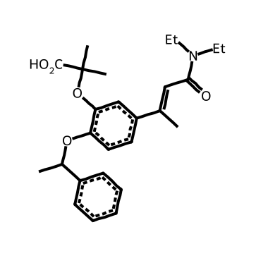 CCN(CC)C(=O)C=C(C)c1ccc(OC(C)c2ccccc2)c(OC(C)(C)C(=O)O)c1